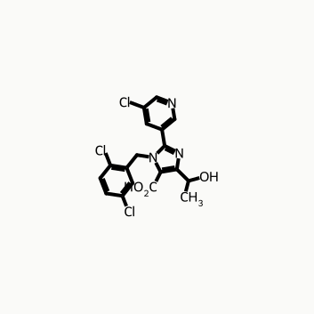 CC(O)c1nc(-c2cncc(Cl)c2)n(Cc2cc(Cl)ccc2Cl)c1C(=O)O